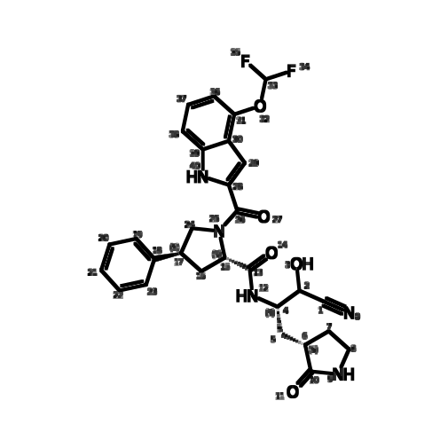 N#CC(O)[C@H](C[C@@H]1CCNC1=O)NC(=O)[C@@H]1C[C@@H](c2ccccc2)CN1C(=O)c1cc2c(OC(F)F)cccc2[nH]1